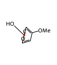 COc1cc2cc(O)c1CO2